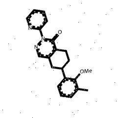 COc1c(C)cccc1C1CCc2c(cnn(-c3ccccn3)c2=O)C1